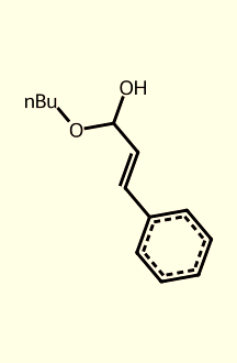 CCCCOC(O)/C=C/c1ccccc1